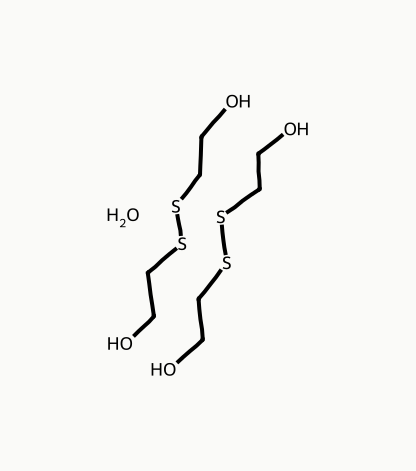 O.OCCSSCCO.OCCSSCCO